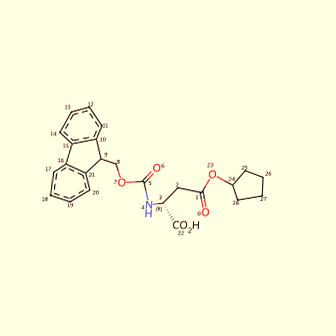 O=C(C[C@@H](NC(=O)OCC1c2ccccc2-c2ccccc21)C(=O)O)OC1CCCC1